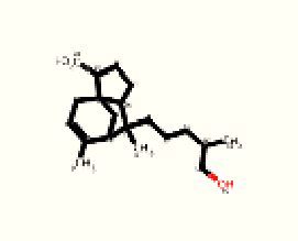 CC1=CCC23CC1C(C)(CCCC(C)CO)C2CCC3C(=O)O